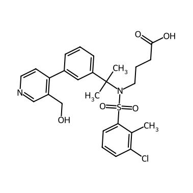 Cc1c(Cl)cccc1S(=O)(=O)N(CCCC(=O)O)C(C)(C)c1cccc(-c2ccncc2CO)c1